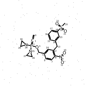 C=C=P(OCc1ccc([N+](=O)[O-])c(Cc2cccc(S(C)(=O)=O)c2)c1)(N1CC1)N1CC1